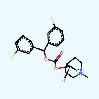 C[N+]12CCC(CC1)[C@@H](OC(=O)OC(c1cccc(F)c1)c1cccc(F)c1)C2